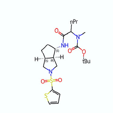 CCCC(C(=O)N[C@H]1CC[C@@H]2CN(S(=O)(=O)c3cccs3)C[C@@H]21)N(C)C(=O)OC(C)(C)C